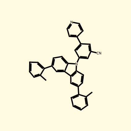 Cc1ccccc1-c1ccc2c(c1)c1cc(-c3ccccc3C)ccc1n2-c1cc(C#N)cc(-c2ccncc2)c1